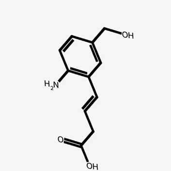 Nc1ccc(CO)cc1C=CCC(=O)O